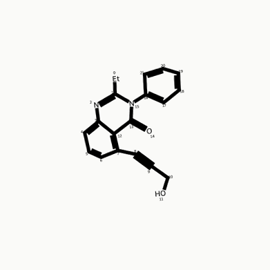 CCc1nc2cccc(C#CCO)c2c(=O)n1-c1ccccc1